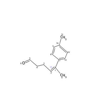 C/C(=C/CCC=O)c1ccc(C)cc1